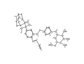 COC1(c2ccc(/C=C/C#N)c(OCc3ccc(OC4OC(CO)C(O)C(O)C4O)cc3)c2)OOC12C1CC3CC(C1)CC2C3